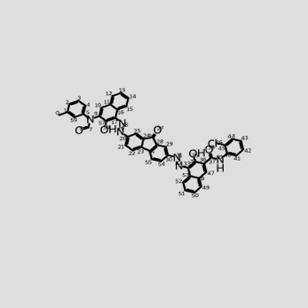 Cc1cccc(N(C=O)c2cc3ccccc3c(N=Nc3ccc4c(c3)C(=O)c3cc(N=Nc5c(O)c(C(=O)Nc6ccccc6Cl)cc6ccccc56)ccc3-4)c2O)c1